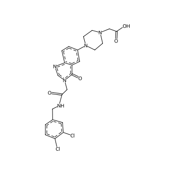 O=C(O)CN1CCN(c2ccc3ncn(CC(=O)NCc4ccc(Cl)c(Cl)c4)c(=O)c3c2)CC1